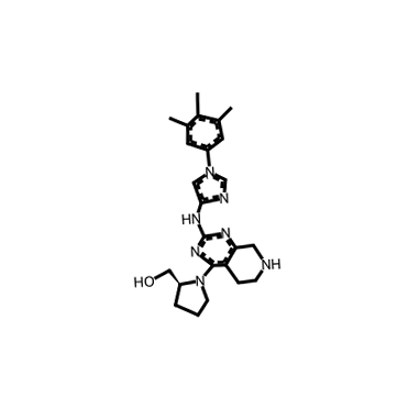 Cc1cc(-n2cnc(Nc3nc4c(c(N5CCC[C@H]5CO)n3)CCNC4)c2)cc(C)c1C